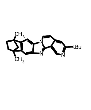 CC(C)(C)c1cc2ccn3c4cc5c(cc4nc3c2cn1)C1(C)CCC5(C)C1